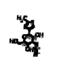 Cc1nc([C@@H]2O[C@H](CO)[C@H](O)C(N=[N+]=[N-])[C@H]2O)cs1